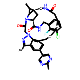 CC(=O)c1nn2c3c(cc(-c4cnc(C)nc4)cc13)CCCCCCC(=O)NC[C@@]13C[C@@H](C(=O)NCc4cccc(Cl)c4F)N(C(=O)C2)C1C3C